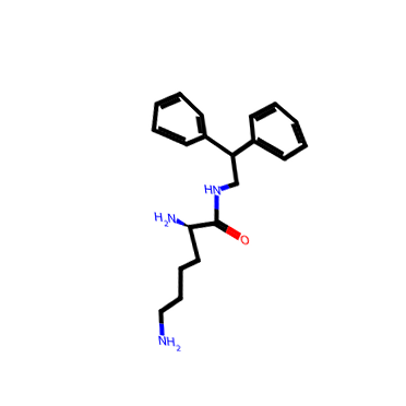 NCCCC[C@@H](N)C(=O)NCC(c1ccccc1)c1ccccc1